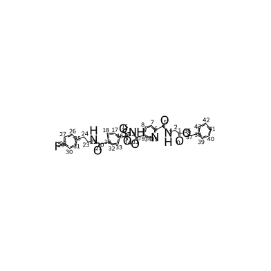 O=C(CNC(=O)c1ccc(C(=O)NS(=O)(=O)c2ccc(C(=O)NCCc3ccc(F)cc3)cc2)cn1)OCc1ccccc1